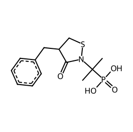 CC(C)(N1SCC(Cc2ccccc2)C1=O)P(=O)(O)O